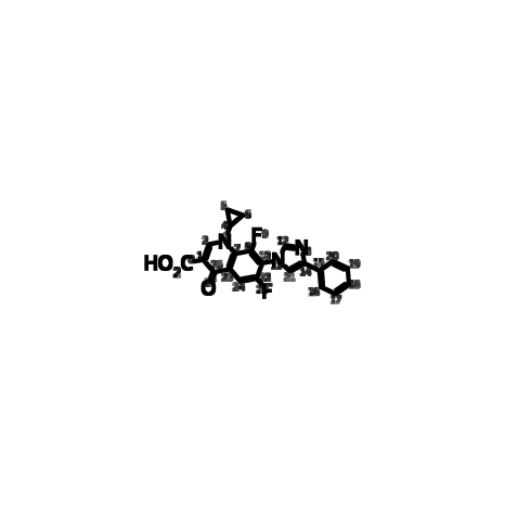 O=C(O)c1cn(C2CC2)c2c(F)c(-n3cnc(-c4ccccc4)c3)c(F)cc2c1=O